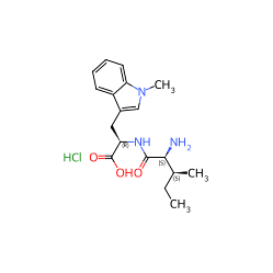 CC[C@H](C)[C@H](N)C(=O)N[C@H](Cc1cn(C)c2ccccc12)C(=O)O.Cl